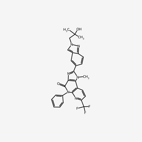 Cn1c(-c2ccc3nn(CC(C)(C)O)cc3c2)nc2c(=O)n(-c3ccccc3)c3nc(C(F)(F)F)ccc3c21